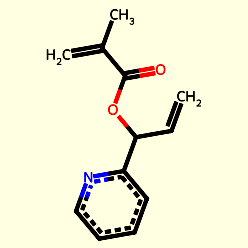 C=CC(OC(=O)C(=C)C)c1ccccn1